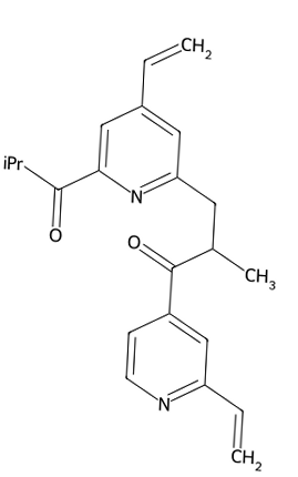 C=Cc1cc(CC(C)C(=O)c2ccnc(C=C)c2)nc(C(=O)C(C)C)c1